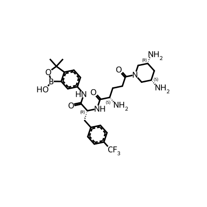 CC1(C)OB(O)c2cc(NC(=O)[C@@H](Cc3ccc(C(F)(F)F)cc3)NC(=O)[C@@H](N)CCC(=O)N3C[C@H](N)C[C@H](N)C3)ccc21